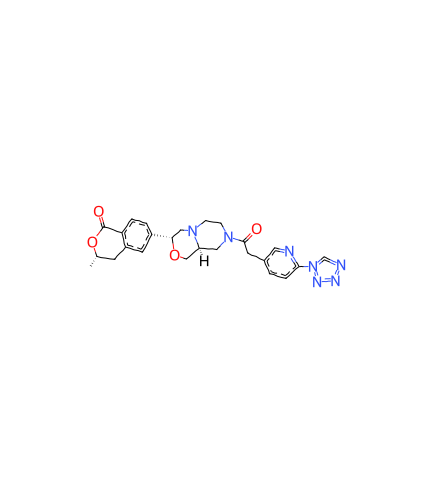 C[C@H]1Cc2cc([C@@H]3CN4CCN(C(=O)Cc5ccc(-n6cnnn6)nc5)C[C@H]4CO3)ccc2C(=O)O1